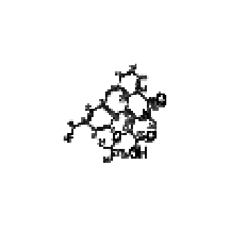 Cc1cc(CF)ccc1-c1c(C(OC(C)(C)C)C(=O)O)n(C)c(=O)c2ccccc12